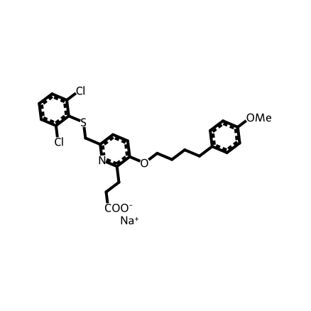 COc1ccc(CCCCOc2ccc(CSc3c(Cl)cccc3Cl)nc2CCC(=O)[O-])cc1.[Na+]